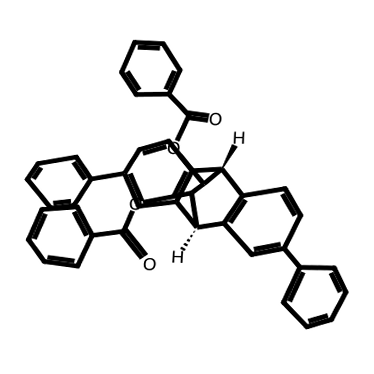 O=C(OC1C(OC(=O)c2ccccc2)[C@H]2c3cc(-c4ccccc4)ccc3[C@H]1c1ccc(-c3ccccc3)cc12)c1ccccc1